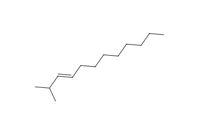 CCCCCCCC/C=C/C(C)C